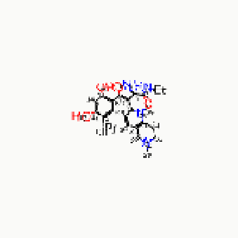 CCNC(=O)c1noc(-c2cc(C(C)C)c(O)cc2O)c1C1C=CC2=C(CCN(C)C2)N1C